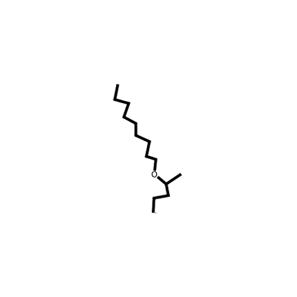 [CH2]CCC(C)OCCCCCCCCC